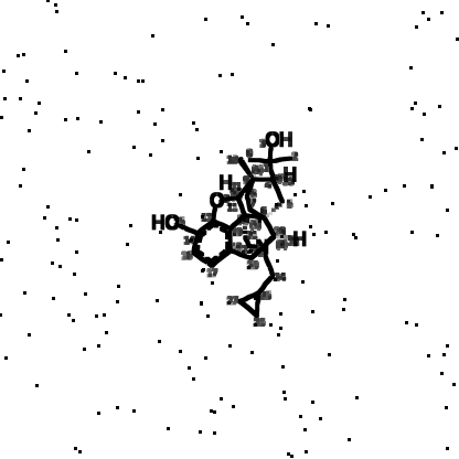 CC(C)(O)[C@H]1C[C@@]23CC[C@]1(C)[C@@H]1Oc4c(O)ccc5c4[C@@]12CCN(CC1CC1)[C@@H]3C5